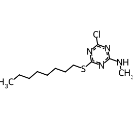 CCCCCCCCSc1nc(Cl)nc(NC)n1